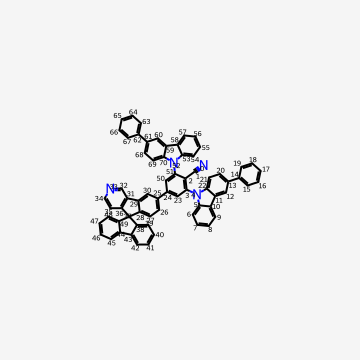 N#Cc1c(-n2c3ccccc3c3cc(-c4ccccc4)ccc32)cc(-c2ccc3c(c2)-c2cnccc2C32c3ccccc3-c3ccccc32)cc1-n1c2ccccc2c2cc(-c3ccccc3)ccc21